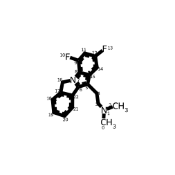 CN(C)CCc1c2n(c3c(F)cc(F)cc13)Cc1ccccc1-2